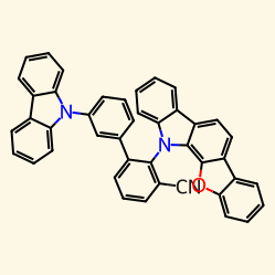 N#Cc1cccc(-c2cccc(-n3c4ccccc4c4ccccc43)c2)c1-n1c2ccccc2c2ccc3c4ccccc4oc3c21